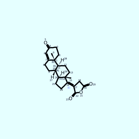 C[C@]12CCC(=O)C=C1CC[C@@H]1[C@@H]2CC[C@]2(C)/C(=C3\CC(=O)OC3=O)CC[C@@H]12